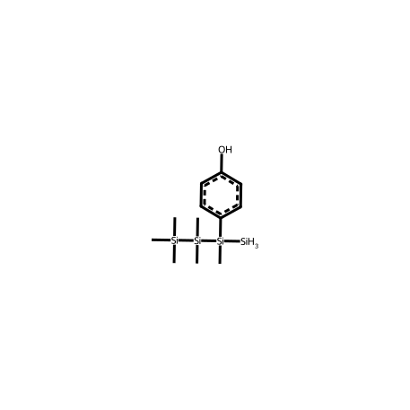 C[Si](C)(C)[Si](C)(C)[Si](C)([SiH3])c1ccc(O)cc1